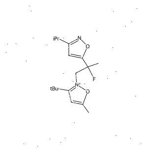 Cc1cc(C(C)(C)C)[n+](CC(C)(F)c2cc(C(C)C)no2)o1